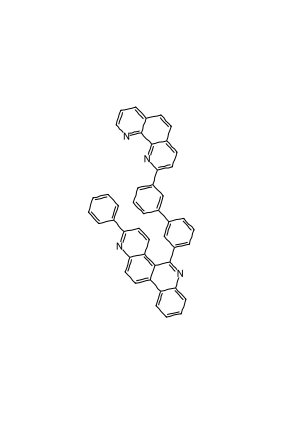 c1ccc(-c2ccc3c(ccc4c5ccccc5nc(-c5cccc(-c6cccc(-c7ccc8ccc9cccnc9c8n7)c6)c5)c34)n2)cc1